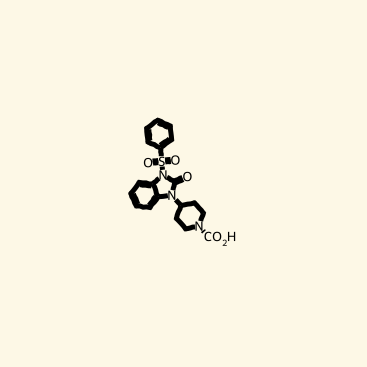 O=C(O)N1CCC(n2c(=O)n(S(=O)(=O)c3ccccc3)c3ccccc32)CC1